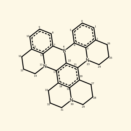 c1cc2c3c(c1)B1c4cccc5c4N(CCC5)c4c5c6c(c(c41)N3CCC2)CCCN6CCC5